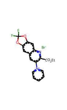 CCOC(=O)c1nc2cc3c(cc2cc1-[n+]1ccccc1)OC(F)(F)O3.[Br-]